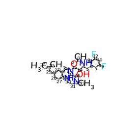 CC(=O)NC(Cc1cc(F)cc(F)c1)C(O)CNCc1cc(CC(C)C)ccc1N1CCN(C)CC1